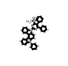 C[Si]1(C)c2ccccc2-c2c(-c3ccccc3)nc(-n3c4ccccc4c4c5c6ccccc6n(-c6ccccc6)c5ccc43)nc21